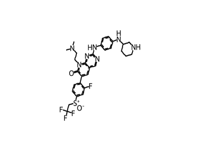 CN(C)CCn1c(=O)c(-c2ccc([S+]([O-])CC(F)(F)F)cc2F)cc2cnc(Nc3ccc(NC4CCCNC4)cc3)nc21